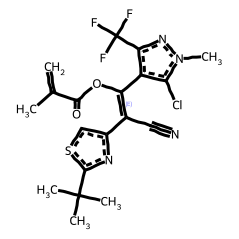 C=C(C)C(=O)O/C(=C(/C#N)c1csc(C(C)(C)C)n1)c1c(C(F)(F)F)nn(C)c1Cl